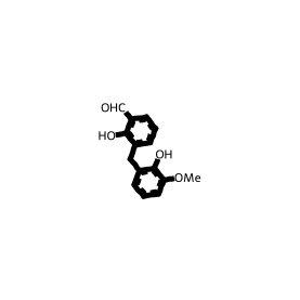 COc1cccc(Cc2cccc(C=O)c2O)c1O